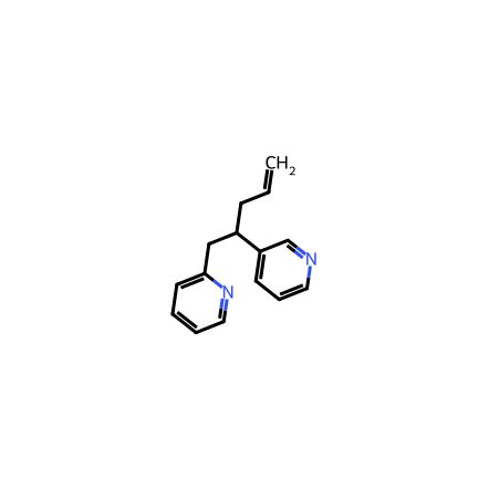 C=CCC(Cc1ccccn1)c1cccnc1